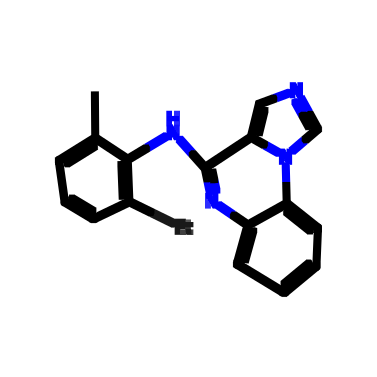 CCc1cccc(C)c1Nc1nc2ccccc2n2cncc12